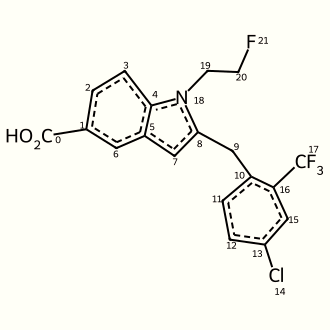 O=C(O)c1ccc2c(c1)cc(Cc1ccc(Cl)cc1C(F)(F)F)n2CCF